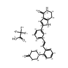 O=C(O)C(F)(F)F.O=C1CCN(c2ccccc2C=Cc2cc(-c3cc4c([nH]3)CCNC4=O)ccn2)CC1